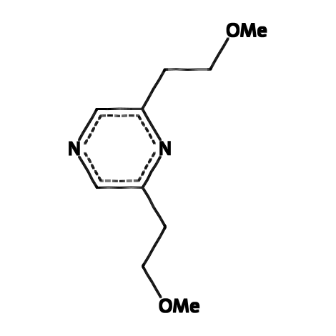 COCCc1cncc(CCOC)n1